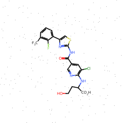 O=C(Nc1nc(-c2cccc(C(F)(F)F)c2F)cs1)c1cnc(NC(CCO)C(=O)O)c(Cl)c1